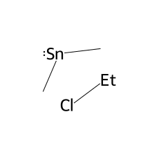 CCCl.[CH3][Sn][CH3]